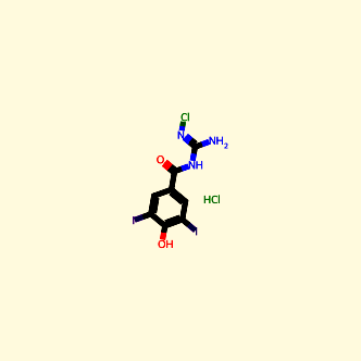 Cl.NC(=NCl)NC(=O)c1cc(I)c(O)c(I)c1